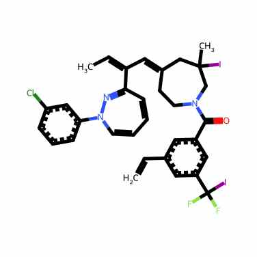 C=Cc1cc(C(=O)N2CC/C(=C\C(=CC)C3=NN(c4cccc(Cl)c4)C=CC=C3)CC(C)(I)C2)cc(C(F)(F)I)c1